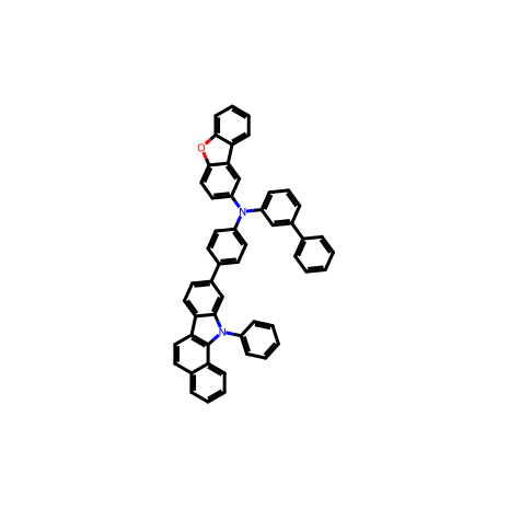 c1ccc(-c2cccc(N(c3ccc(-c4ccc5c6ccc7ccccc7c6n(-c6ccccc6)c5c4)cc3)c3ccc4oc5ccccc5c4c3)c2)cc1